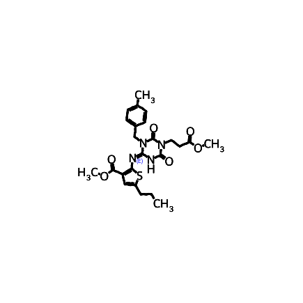 CCCc1cc(C(=O)OC)c(/N=c2\[nH]c(=O)n(CCC(=O)OC)c(=O)n2Cc2ccc(C)cc2)s1